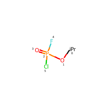 CC(C)OP(=O)(F)Cl